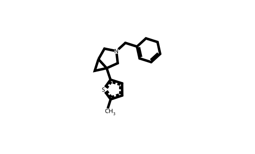 Cc1ccc(C23CC2CN(CC2=CC=CCC2)C3)s1